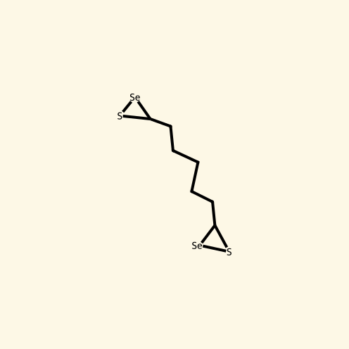 C(CCC1S[Se]1)CCC1S[Se]1